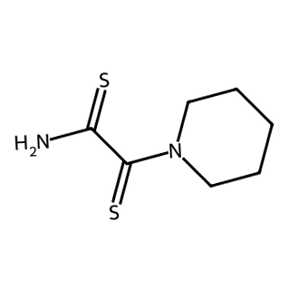 NC(=S)C(=S)N1CCCCC1